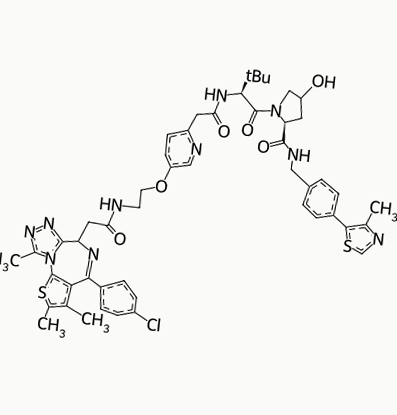 Cc1ncsc1-c1ccc(CNC(=O)[C@@H]2CC(O)CN2C(=O)[C@@H](NC(=O)Cc2ccc(OCCNC(=O)CC3N=C(c4ccc(Cl)cc4)c4c(sc(C)c4C)-n4c(C)nnc43)cn2)C(C)(C)C)cc1